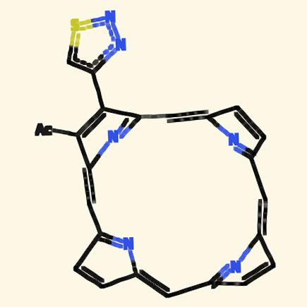 CC(=O)C1=C(c2csnn2)C2=NC1=CC1=NC(=CC3=NC(=CC4=NC(=C2)C=C4)C=C3)C=C1